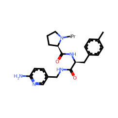 Cc1ccc(C[C@H](NC(=O)[C@H]2CCCN2C(C)C)C(=O)NCc2ccc(N)nc2)cc1